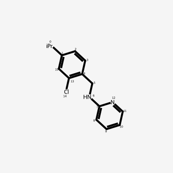 CC(C)c1ccc(CNc2ccccn2)c(Cl)c1